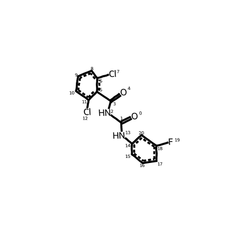 O=C(NC(=O)c1c(Cl)cccc1Cl)Nc1cccc(F)c1